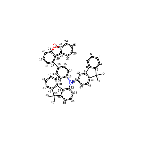 CC1(C)c2ccccc2-c2cc(N(c3ccc(-c4cccc5oc6ccccc6c45)cc3)c3cccc4c3-c3ccccc3C4(C)C)ccc21